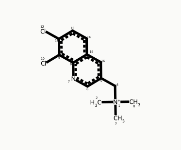 C[N+](C)(C)Cc1cnc2c(Cl)c(Cl)ccc2c1